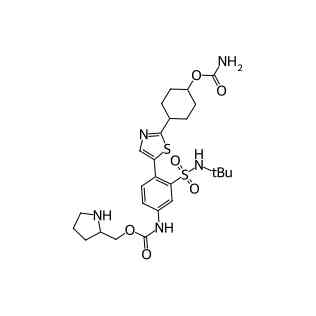 CC(C)(C)NS(=O)(=O)c1cc(NC(=O)OCC2CCCN2)ccc1-c1cnc(C2CCC(OC(N)=O)CC2)s1